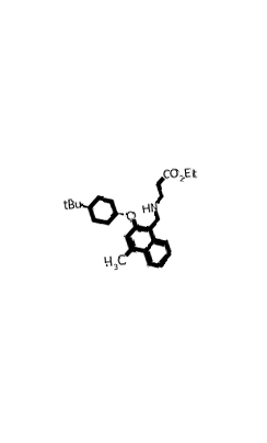 CCOC(=O)CCNCc1c(O[C@H]2CC[C@H](C(C)(C)C)CC2)cc(C)c2ccccc12